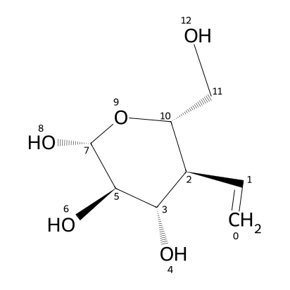 C=C[C@H]1[C@H](O)[C@@H](O)[C@H](O)O[C@@H]1CO